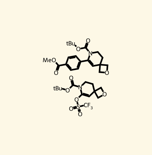 CC(C)(C)OC(=O)N1CCC2(C=C1OS(=O)(=O)C(F)(F)F)COC2.COC(=O)c1ccc(C2=CC3(CCN2C(=O)OC(C)(C)C)COC3)cc1